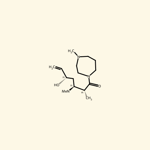 C=C[C@@H](O)C[C@H](NC)[C@@H](C)C(=O)N1CCCN(C)CC1